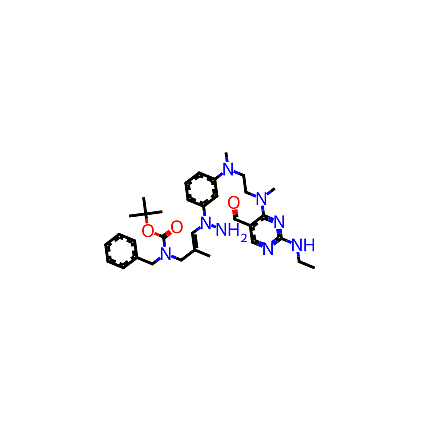 CCNc1ncc(C=O)c(N(C)CCN(C)c2cccc(N(N)/C=C(\C)CN(Cc3ccccc3)C(=O)OC(C)(C)C)c2)n1